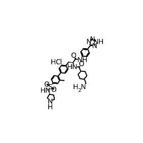 Cc1cc(S(=O)(=O)N[C@@H]2CCNC2)ccc1-c1ccc(C[C@H](NC(=O)C2CCC(CN)CC2)C(=O)Nc2ccc(-c3nn[nH]n3)cc2)cc1.Cl